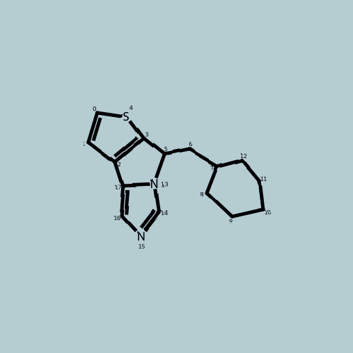 c1cc2c(s1)C(CC1CCCCC1)n1cncc1-2